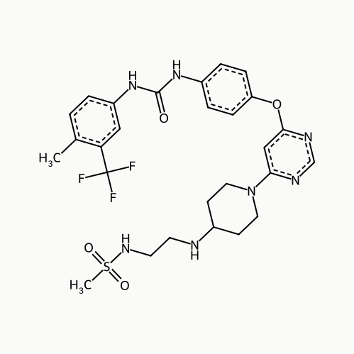 Cc1ccc(NC(=O)Nc2ccc(Oc3cc(N4CCC(NCCNS(C)(=O)=O)CC4)ncn3)cc2)cc1C(F)(F)F